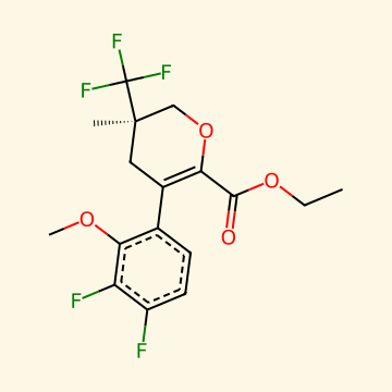 CCOC(=O)C1=C(c2ccc(F)c(F)c2OC)C[C@@](C)(C(F)(F)F)CO1